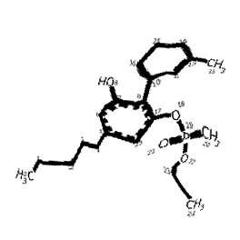 CCCCCc1cc(O)c(C2C=C(C)CCC2)c(OP(C)(=O)OCC)c1